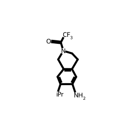 CC(C)c1cc2c(cc1N)CCN(C(=O)C(F)(F)F)C2